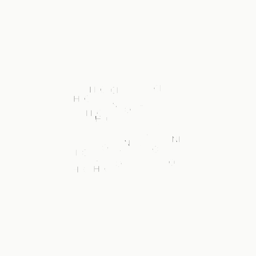 CC(C)(C)OC(=O)N1C[C@H](O[Si](C)(C)C(C)(C)C)C[C@@]2(C1)OC(=O)Nc1ccc(Cl)c(F)c12